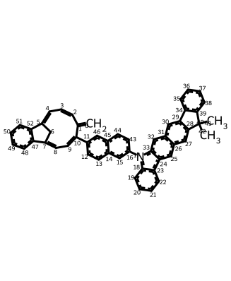 C=C1/C=C\C=C2/C/C(=C\C=C/1c1ccc3cc(-n4c5ccccc5c5cc6cc7c(cc6cc54)-c4ccccc4C7(C)C)ccc3c1)c1ccccc12